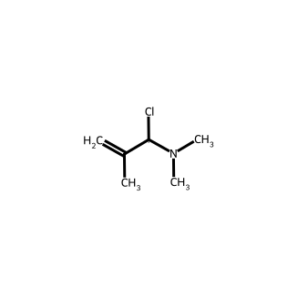 C=C(C)[C](Cl)N(C)C